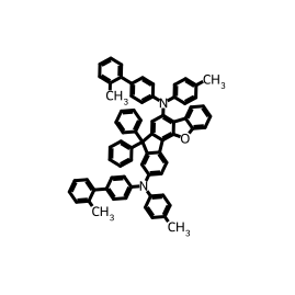 Cc1ccc(N(c2ccc(-c3ccccc3C)cc2)c2ccc3c(c2)C(c2ccccc2)(c2ccccc2)c2cc(N(c4ccc(C)cc4)c4ccc(-c5ccccc5C)cc4)c4c(oc5ccccc54)c2-3)cc1